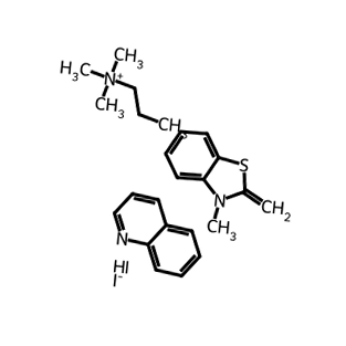 C=C1Sc2ccccc2N1C.CCC[N+](C)(C)C.I.[I-].c1ccc2ncccc2c1